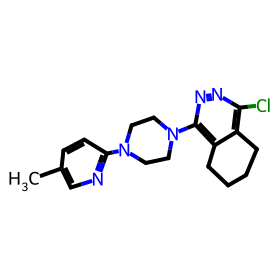 Cc1ccc(N2CCN(c3nnc(Cl)c4c3CCCC4)CC2)nc1